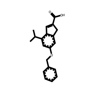 CC(C)c1cc(OCc2ccccc2)cc2c1C=C(C(=O)O)C2